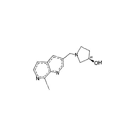 Cc1nccc2cc(CN3CC[C@@H](O)C3)cnc12